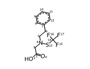 O=C(O)CN(CCc1ccccc1)SC(F)(F)F